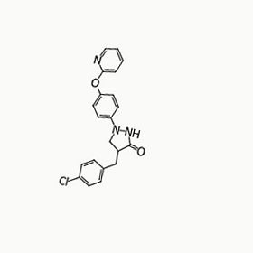 O=C1NN(c2ccc(Oc3ccccn3)cc2)CC1Cc1ccc(Cl)cc1